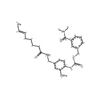 COc1cc(CNC(=O)CCCCC=CC(C)C)ccc1OC(=O)OC[n+]1cccc(C(=O)N(C)C)c1